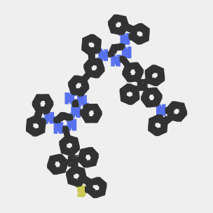 c1ccc([Si](c2ccccc2)(c2ccc(-c3nc(-n4c5ccccc5c5ccccc54)cc(-n4c5ccccc5c5cc(-c6ccc7nc8n(-c9cc(-n%10c%11ccccc%11c%11ccccc%11%10)nc(-c%10ccc([Si](c%11ccccc%11)(c%11ccccc%11)c%11ccc%12sc%13ccccc%13c%12c%11)cc%10)n9)c9ccccc9n8c7c6)ccc54)n3)cc2)c2ccc(-n3c4ccccc4c4ccccc43)cc2)cc1